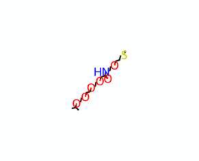 CSCCCOCCNC(=O)COCCOCCOCCOC(C)C